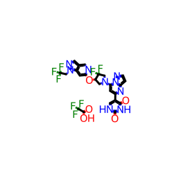 O=C(O)C(F)(F)F.O=c1[nH]cc(-c2cc(N3CC(Oc4cc5c(cn4)cnn5CC(F)(F)F)C(F)(F)C3)n3nccc3n2)c(=O)[nH]1